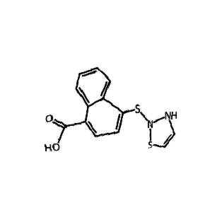 O=C(O)c1ccc(SN2NC=CS2)c2ccccc12